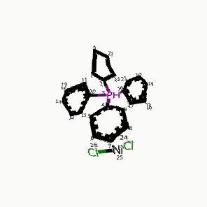 C1=CC([PH](c2ccccc2)(c2ccccc2)c2ccccc2)C=C1.[Cl][Ni][Cl]